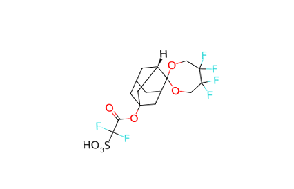 O=C(OC12CC3CC(C1)C1(OCC(F)(F)C(F)(F)CO1)[C@@H](C3)C2)C(F)(F)S(=O)(=O)O